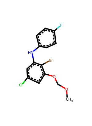 COCOc1cc(Cl)cc(Nc2ccc(F)cc2)c1Br